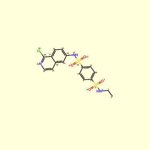 CCNS(=O)(=O)c1ccc(S(=O)(=O)Nc2ccc3c(Cl)nccc3c2)cc1